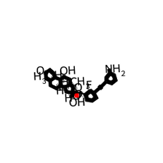 C[C@]12C=CC(=O)C=C1CC[C@@H]1[C@@H]2[C@@H](O)C[C@@]2(C)[C@H]1C[C@H]1O[C@H](c3cccc(C#Cc4cccc(N)c4)c3F)O[C@]12C(=O)CO